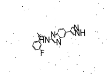 C[C@@H](CNc1cnc2cc(-c3cn[nH]c3)ccc2n1)c1cccc(F)c1